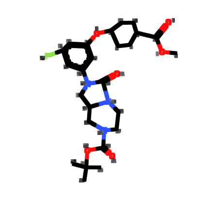 COC(=O)C1CCC(Oc2cc(F)cc(N3CC4CN(C(=O)OC(C)(C)C)CCN4C3=O)c2)CC1